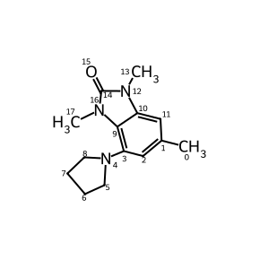 Cc1cc(N2CCCC2)c2c(c1)n(C)c(=O)n2C